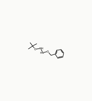 CC(C)(C)ONNOCc1ccccc1